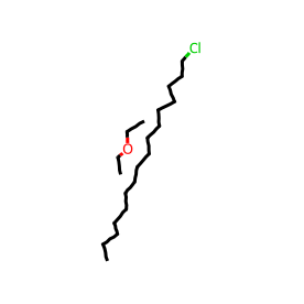 CCCCCCCCCCCCCCCCCl.CCOCC